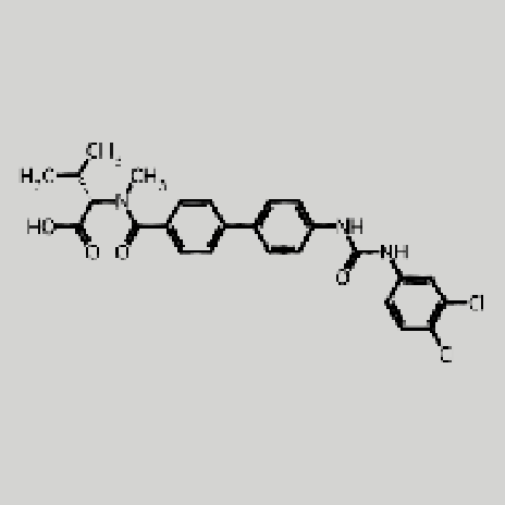 CC(C)[C@@H](C(=O)O)N(C)C(=O)c1ccc(-c2ccc(NC(=O)Nc3ccc(Cl)c(Cl)c3)cc2)cc1